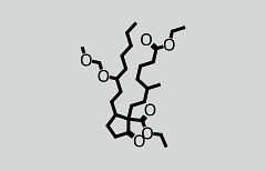 CCCCCC(CCC1CCC(=O)C1(CCC(C)CCCC(=O)OCC)C(=O)OCC)OCOC